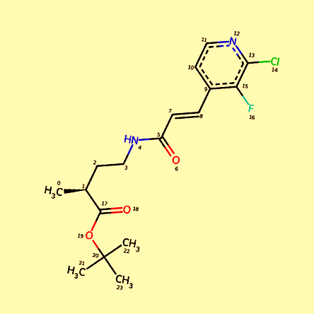 C[C@@H](CCNC(=O)/C=C/c1ccnc(Cl)c1F)C(=O)OC(C)(C)C